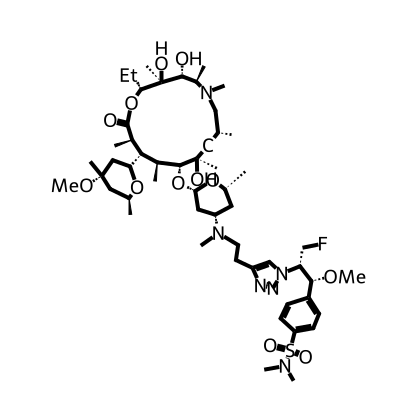 CC[C@H]1OC(=O)[C@H](C)[C@@H](C2C[C@@](C)(OC)C[C@H](C)O2)[C@H](C)[C@@H](O[C@H]2C[C@@H](N(C)CCc3cn([C@H](CF)[C@H](OC)c4ccc(S(=O)(=O)N(C)C)cc4)nn3)C[C@@H](C)O2)[C@](C)(O)C[C@@H](C)CN(C)[C@H](C)[C@@H](O)[C@]1(C)O